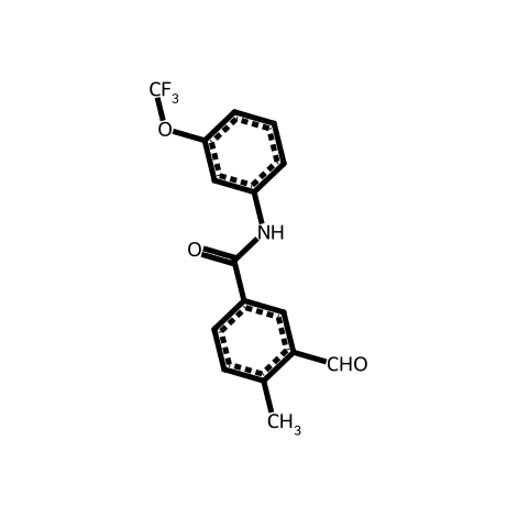 Cc1ccc(C(=O)Nc2cccc(OC(F)(F)F)c2)cc1C=O